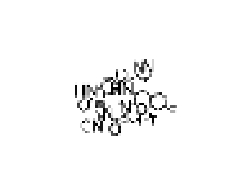 CC(C)C[C@@H](C(=O)N1C[C@]2(C[C@H]1C#N)C(=O)Nc1ccccc12)N(C)C(=O)C(Cc1ccc(F)cc1)NC(=O)c1ccn(C)n1